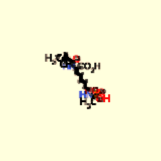 CC(NCCCCC/C=C(/NC(=O)C1CC1(C)C)C(=O)O)P(=O)(O)O